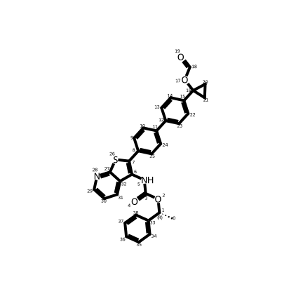 C[C@@H](OC(=O)Nc1c(-c2ccc(-c3ccc(C4(OC=O)CC4)cc3)cc2)sc2ncccc12)c1ccccc1